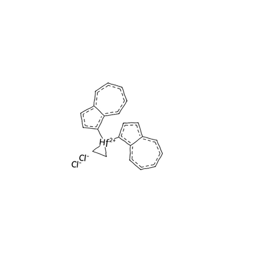 [Cl-].[Cl-].c1ccc2cc[c]([Hf+2]3([c]4ccc5cccccc4-5)[CH2][CH2]3)c-2cc1